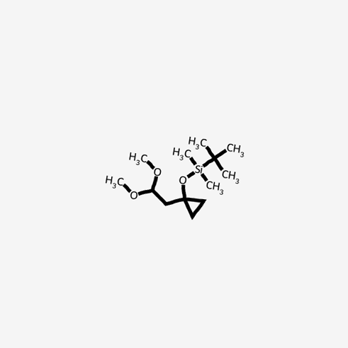 COC(CC1(O[Si](C)(C)C(C)(C)C)CC1)OC